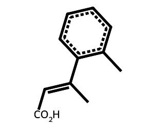 C/C(=C\C(=O)O)c1ccccc1C